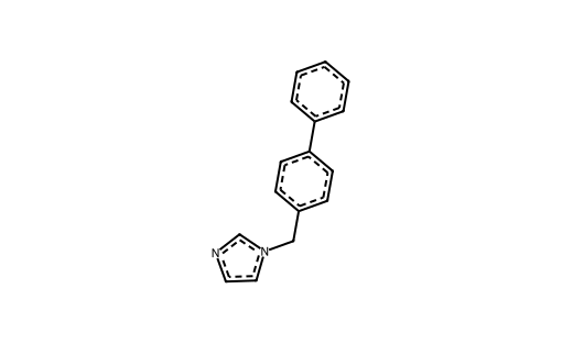 c1ccc(-c2ccc(Cn3ccnc3)cc2)cc1